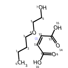 CCCCOCCO.O=C(O)/C=C\C(=O)O